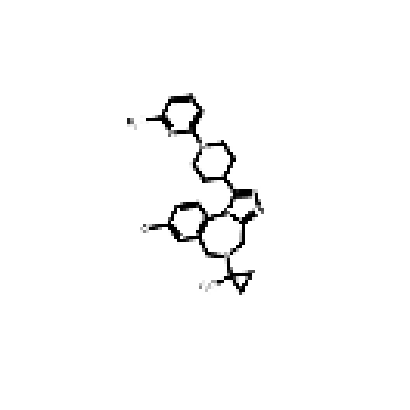 Cc1cccc(N2CCC(c3nnc4n3-c3ccc(Cl)cc3CN(C3(C(F)(F)F)CC3)C4)CC2)n1